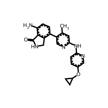 Cc1cc(Nc2ccc(OC3CC3)cn2)ncc1-c1ccc(N)c2c1CNC2=O